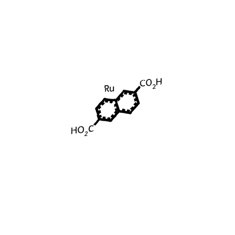 O=C(O)c1ccc2cc(C(=O)O)ccc2c1.[Ru]